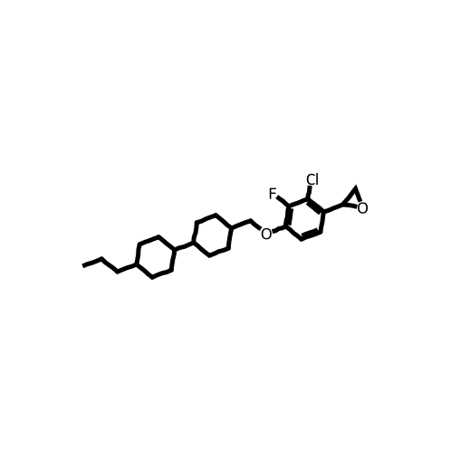 CCCC1CCC(C2CCC(COc3ccc(C4CO4)c(Cl)c3F)CC2)CC1